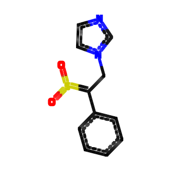 O=S(=O)=C(Cn1ccnc1)c1ccccc1